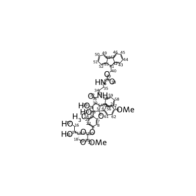 COc1ccc([C@@]23Oc4cc(O[C@@H]5O[C@@H]([C@H](O)CO)CO[C@H]5OC)cc(C)c4[C@]2(O)[C@H](O)[C@H](C(=O)NCCNC(=O)OCC2c4ccccc4-c4ccccc42)[C@H]3c2ccccc2)cc1